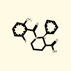 Cc1cccc(F)c1C(=O)N1CCCC(C(=O)O)[C@@H]1c1ccccc1